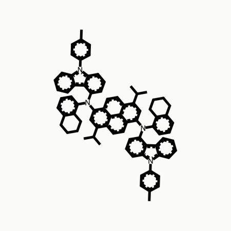 Cc1ccc(-n2c3ccccc3c3c(N(c4cccc5c4CCCC5)c4cc(C(C)C)c5ccc6c(N(c7cccc8c7CCCC8)c7cccc8c7c7ccccc7n8-c7ccc(C)cc7)cc(C(C)C)c7ccc4c5c76)cccc32)cc1